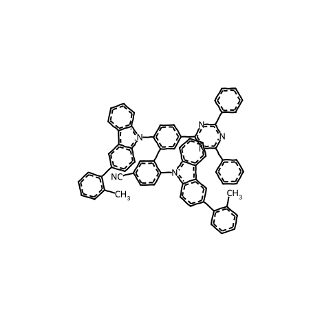 Cc1ccccc1-c1ccc2c(c1)c1ccccc1n2-c1ccc(C#N)cc1-c1cc(-c2nc(-c3ccccc3)nc(-c3ccccc3)n2)ccc1-n1c2ccccc2c2cc(-c3ccccc3C)ccc21